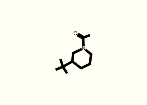 CC(=O)N1CCCC(C(C)(C)C)C1